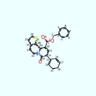 O=C(OCc1ccccc1)c1cc(C2=CCCC=C2)c(=O)n2ccc3ccsc3c12